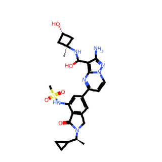 C[C@@H](C1CC1)N1Cc2cc(-c3ccn4nc(N)c(C(O)N[C@]5(C)C[C@@H](O)C5)c4n3)cc(NS(C)(=O)=O)c2C1=O